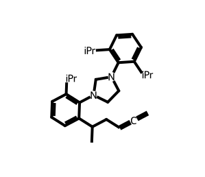 C=C=CCC(C)c1cccc(C(C)C)c1N1CCN(c2c(C(C)C)cccc2C(C)C)C1